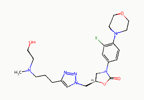 CN(CCO)CCCc1cn(C[C@H]2CN(c3ccc(N4CCOCC4)c(F)c3)C(=O)O2)nn1